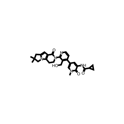 Cn1cc(-c2ccnc(N3CCc4c(cc5n4CC(C)(C)C5)C3=O)c2CO)cc(NC(=O)C2CC2)c1=O